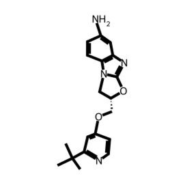 CC(C)(C)c1cc(OC[C@@H]2Cn3c(nc4cc(N)ccc43)O2)ccn1